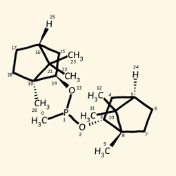 CP(O[C@@H]1C[C@H]2CC[C@@]1(C)C2(C)C)O[C@@H]1C[C@H]2CC[C@@]1(C)C2(C)C